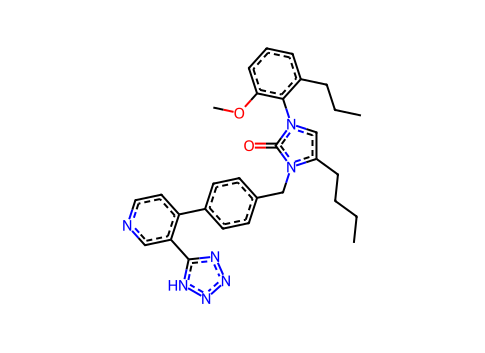 CCCCc1cn(-c2c(CCC)cccc2OC)c(=O)n1Cc1ccc(-c2ccncc2-c2nnn[nH]2)cc1